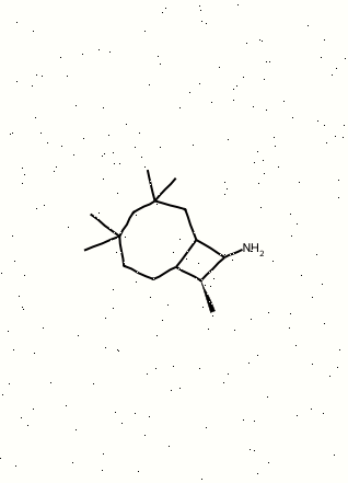 C[C@@H]1C(N)C2CC(C)(C)CC(C)(C)CCC21